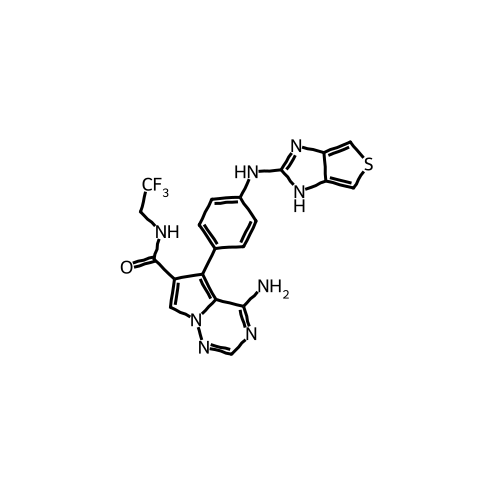 Nc1ncnn2cc(C(=O)NCC(F)(F)F)c(-c3ccc(Nc4nc5cscc5[nH]4)cc3)c12